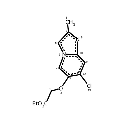 CCOC(=O)COc1cn2cc(C)nc2cc1Cl